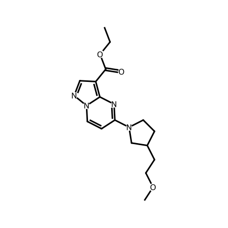 CCOC(=O)c1cnn2ccc(N3CCC(CCOC)C3)nc12